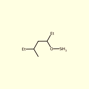 CCC(C)CC(CC)O[SiH3]